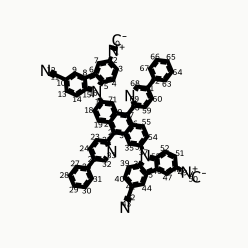 [C-]#[N+]c1ccc2c(c1)c1cc(C#N)ccc1n2-c1ccc2c(-c3ccc(-c4ccccc4)cn3)c3cc(-n4c5ccc(C#N)cc5c5cc([N+]#[C-])ccc54)ccc3c(-c3ccc(-c4ccccc4)cn3)c2c1